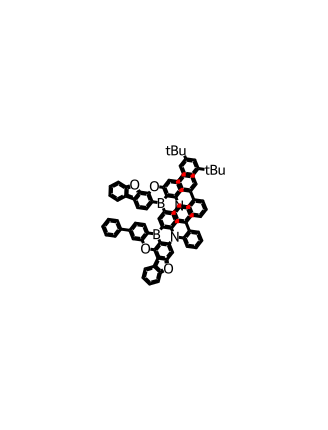 CC(C)(C)c1cc(-c2cc3c4c(c2)N(c2ccccc2-c2ccccc2)c2cc5c(cc2B4c2ccc4c(oc6ccccc64)c2O3)B2c3ccc(-c4ccccc4)cc3Oc3c2c(cc2oc4ccccc4c32)N5c2ccccc2-c2ccccc2)cc(C(C)(C)C)c1